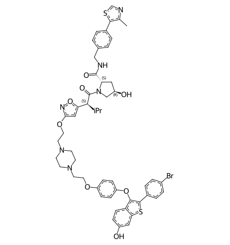 Cc1ncsc1-c1ccc(CNC(=O)[C@@H]2C[C@@H](O)CN2C(=O)[C@H](c2cc(OCCN3CCN(CCOc4ccc(Oc5c(-c6ccc(Br)cc6)sc6cc(O)ccc56)cc4)CC3)no2)C(C)C)cc1